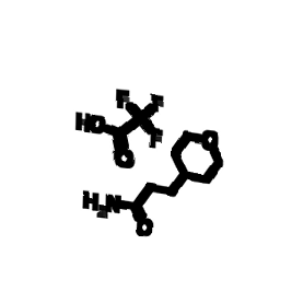 NC(=O)CCC1CCOCC1.O=C(O)C(F)(F)F